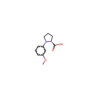 COc1cccc(N2CCC[C@H]2C(=O)O)c1